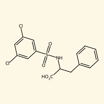 O=C(O)C(Cc1ccccc1)NS(=O)(=O)c1cc(Cl)cc(Cl)c1